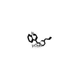 C=CCC1CCN[C@H]([C@H](O)c2ccnc3ccccc23)C1